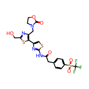 O=C(Cc1ccc(S(=O)(=O)C(F)(F)F)cc1)Nc1nc(-c2sc(CO)nc2CN2CCOC2=O)cs1